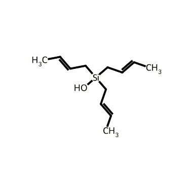 CC=CC[Si](O)(CC=CC)CC=CC